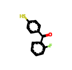 O=C(c1ccc(S)cc1)c1ccccc1F